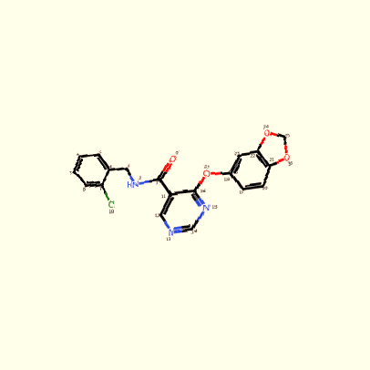 O=C(NCc1ccccc1Cl)c1cncnc1Oc1ccc2c(c1)OCO2